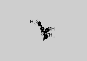 Cc1ccc(F)cc1C(=O)c1sc2cc(O)ccc2c1Oc1ccc(CCN2CC[C@H](C)C2)cc1